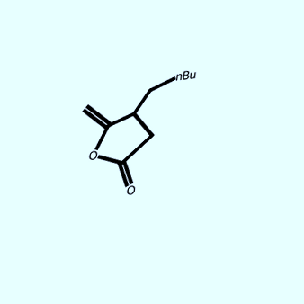 C=C1OC(=O)CC1CCCCC